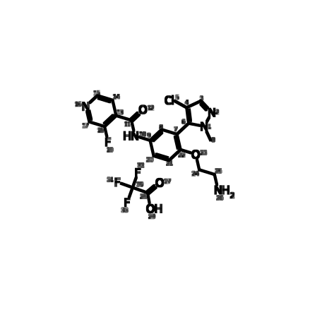 Cn1ncc(Cl)c1-c1cc(NC(=O)c2ccncc2F)ccc1OCCN.O=C(O)C(F)(F)F